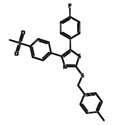 Cc1ccc(CSc2nc(-c3ccc(S(C)(=O)=O)cc3)c(-c3ccc(F)cc3)s2)cc1